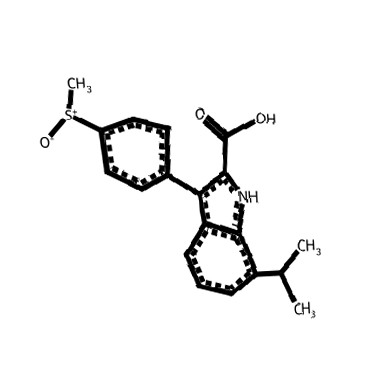 CC(C)c1cccc2c(-c3ccc([S+](C)[O-])cc3)c(C(=O)O)[nH]c12